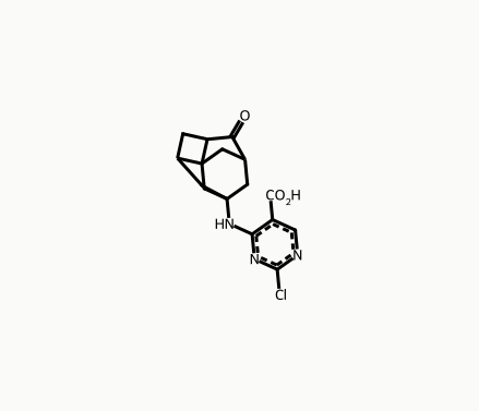 O=C(O)c1cnc(Cl)nc1NC12CC3CC4(C1)C(CC4C3=O)C2